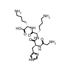 NCCCC[C@H](NC(=O)[C@H](CCCCN)NC(=O)[C@H](Cc1c[nH]cn1)NC(=O)CN)C(=O)O